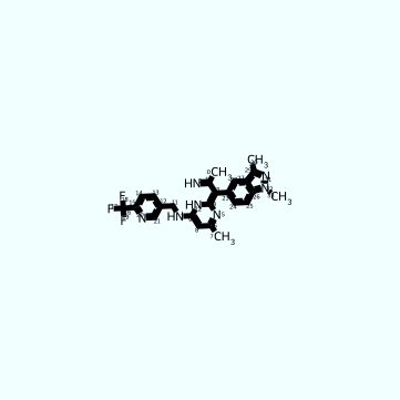 CC(=N)/C(=C1/N=C(C)C=C(NCc2ccc(C(F)(F)F)nc2)N1)c1ccc2c(c1)c(C)nn2C